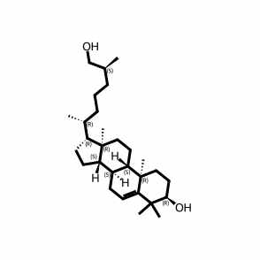 C[C@H](CO)CCC[C@@H](C)[C@H]1CC[C@H]2[C@@H]3CC=C4C(C)(C)[C@H](O)CC[C@]4(C)[C@H]3CC[C@]12C